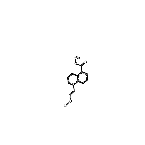 CC(C)(C)OC(=O)c1cccc2c(C=NOCl)cccc12